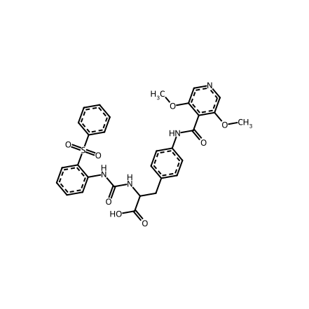 COc1cncc(OC)c1C(=O)Nc1ccc(CC(NC(=O)Nc2ccccc2S(=O)(=O)c2ccccc2)C(=O)O)cc1